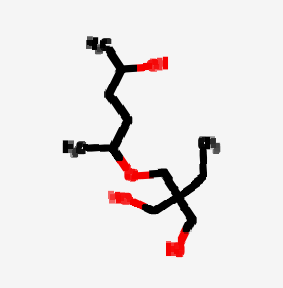 CCC(CO)(CO)COC(C)CCC(C)O